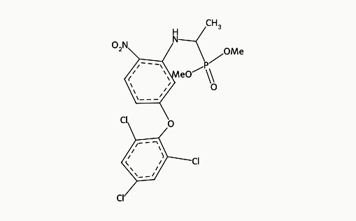 COP(=O)(OC)C(C)Nc1cc(Oc2c(Cl)cc(Cl)cc2Cl)ccc1[N+](=O)[O-]